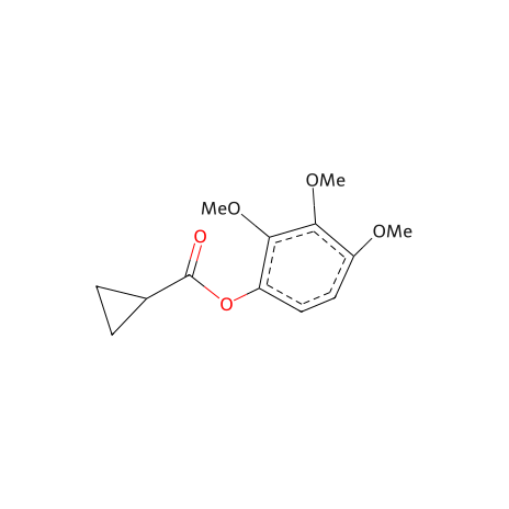 COc1ccc(OC(=O)C2CC2)c(OC)c1OC